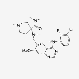 COc1cc2ncnc(Nc3cccc(Cl)c3F)c2cc1CN(C)C1(C(=O)N(C)C)CCN(C)CC1